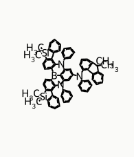 CC1(C)c2ccccc2-c2c(N(c3ccccc3)c3cc4c5c(c3)N(c3ccccc3)c3c(ccc6c3-c3ccccc3[Si]6(C)C)B5c3ccc5c(c3N4c3ccccc3)-c3ccccc3[Si]5(C)C)cccc21